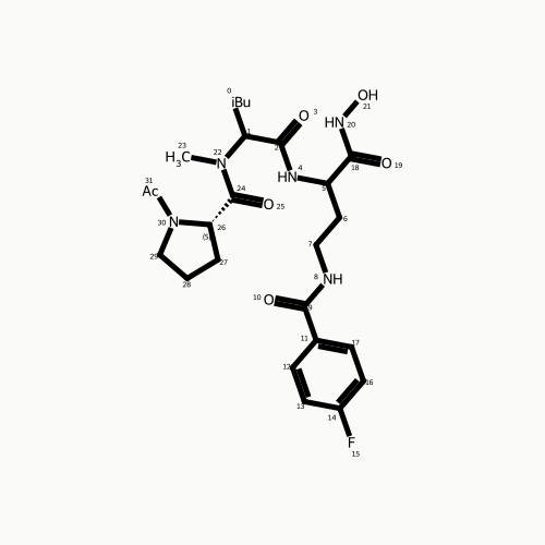 CCC(C)C(C(=O)NC(CCNC(=O)c1ccc(F)cc1)C(=O)NO)N(C)C(=O)[C@@H]1CCCN1C(C)=O